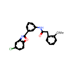 COc1ccccc1CC(=O)Nc1cccc(-c2nc3cc(Cl)ccc3o2)c1